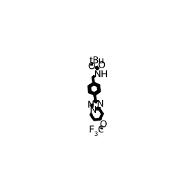 CC(C)(C)OC(=O)NCc1ccc(-c2nc3n(n2)CCC(OC(F)(F)F)C3)cc1